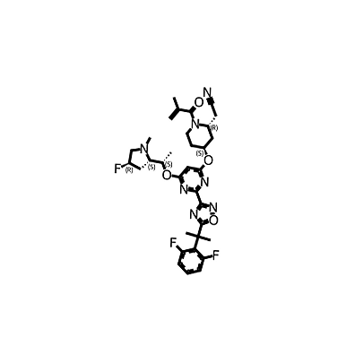 C=C(C)C(=O)N1CC[C@H](Oc2cc(O[C@@H](C)[C@@H]3C[C@@H](F)CN3C)nc(-c3noc(C(C)(C)c4c(F)cccc4F)n3)n2)C[C@H]1CC#N